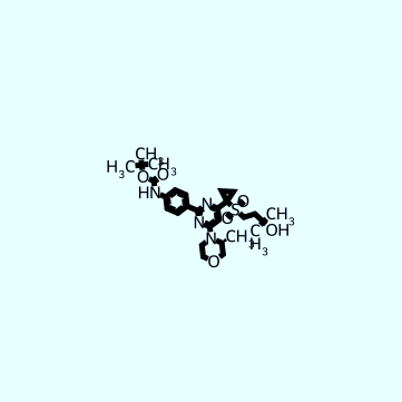 C[C@H]1COCCN1c1cc(C2(S(=O)(=O)CCC(C)(C)O)CC2)nc(-c2ccc(NC(=O)OC(C)(C)C)cc2)n1